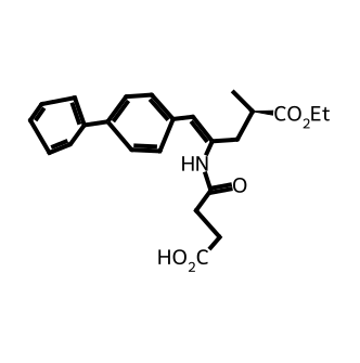 CCOC(=O)[C@H](C)CC(=Cc1ccc(-c2ccccc2)cc1)NC(=O)CCC(=O)O